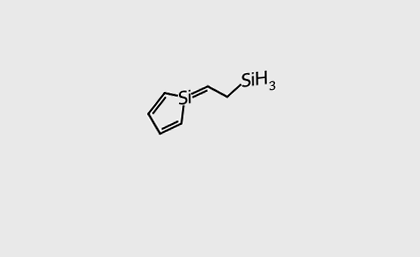 [SiH3]CC=[Si]1C=CC=C1